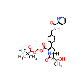 C[C@@H](O)[C@H]1C(=O)N2C(C(=O)OCOC(=O)C(C)(C)C)=C(c3ccc(CNC(=O)c4ccccn4)cc3)C[C@H]12